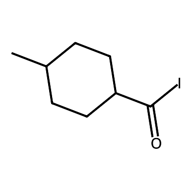 CC1CCC(C(=O)I)CC1